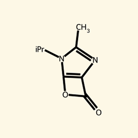 Cc1nc2c(n1C(C)C)OC2=O